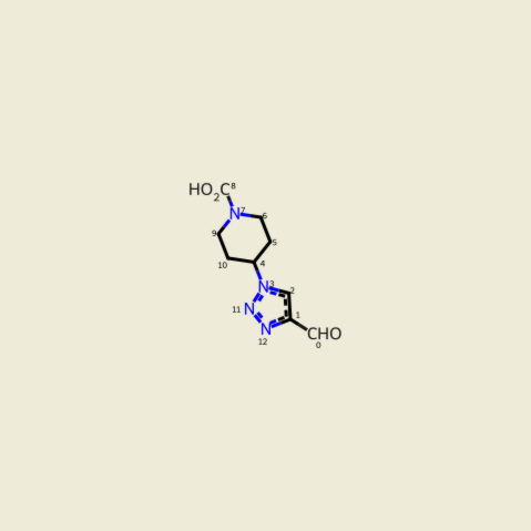 O=Cc1cn(C2CCN(C(=O)O)CC2)nn1